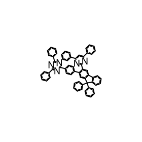 c1ccc(-c2cc(-c3ccccc3)nc(-c3cc4c(cc3-c3ccc(-c5nc(-c6ccccc6)nc(-c6ccccc6)n5)cc3)C(c3ccccc3)(c3ccccc3)c3ccccc3-4)n2)cc1